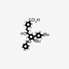 CC(C)(C)c1ccc(-c2cc(C(O)C=Cc3ccc(C(=O)O)cc3)cc(OCc3ccccc3)c2C(C)(C)C)cc1